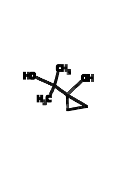 CC(C)(O)C1(O)CC1